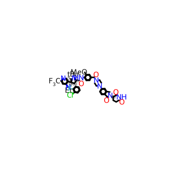 C[CH]N1C[C@]2(c3cnc(C(F)(F)F)cc31)[C@H](CC(C)(C)C)N(C)[C@@H](C(=O)Nc1ccc(C(=O)N3CCN(c4ccc5c(c4)CN([C@H]4CCC(=O)NC4=O)C5=O)CC3)cc1OC)[C@@H]2c1cccc(Cl)c1F